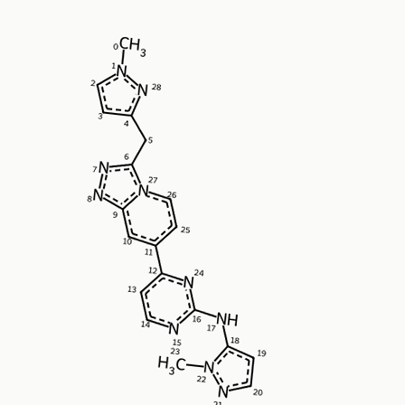 Cn1ccc(Cc2nnc3cc(-c4ccnc(Nc5ccnn5C)n4)ccn23)n1